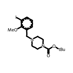 COc1c(I)cccc1CN1CCN(C(=O)OC(C)(C)C)CC1